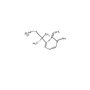 C=C1C(=N)C=CC=C1C(C)(C)CC